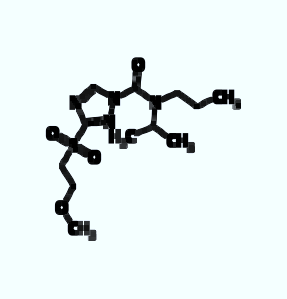 CCCN(C(=O)n1cnc(S(=O)(=O)CCOC)n1)C(C)C